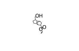 C=COC(=O)C1CC2CC1C1CCC(CO)C21